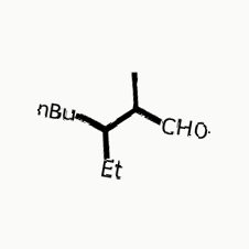 CCCCC(CC)C(C)[C]=O